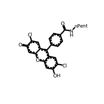 CCCCCNC(=O)c1ccc(-c2c3cc(Cl)c(=O)cc-3oc3cc(O)c(Cl)cc23)cc1